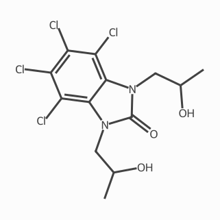 CC(O)Cn1c(=O)n(CC(C)O)c2c(Cl)c(Cl)c(Cl)c(Cl)c21